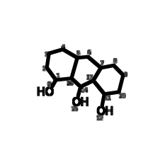 OC1CCCC2CC3CCCC(O)C3C(O)C12